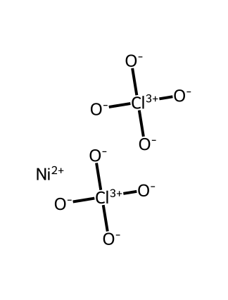 [Ni+2].[O-][Cl+3]([O-])([O-])[O-].[O-][Cl+3]([O-])([O-])[O-]